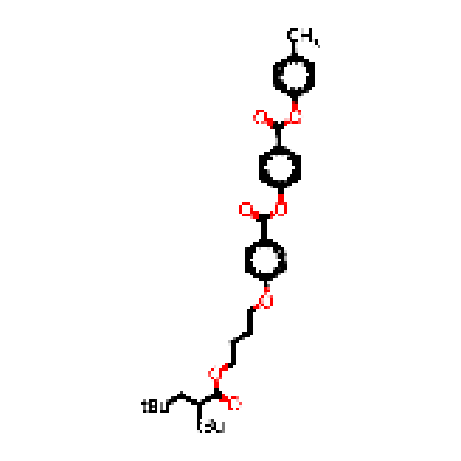 Cc1ccc(OC(=O)c2ccc(OC(=O)c3ccc(OCCCCOC(=O)C(CC(C)(C)C)C(C)(C)C)cc3)cc2)cc1